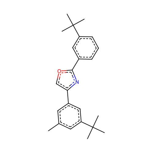 Cc1cc(-c2coc(-c3cccc(C(C)(C)C)c3)n2)cc(C(C)(C)C)c1